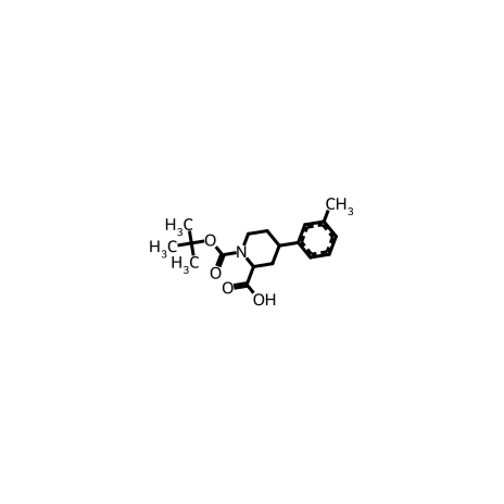 Cc1cccc(C2CCN(C(=O)OC(C)(C)C)C(C(=O)O)C2)c1